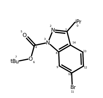 CC(C)c1nn(C(=O)OC(C)(C)C)c2cc(Br)ccc12